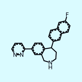 Fc1ccc2cc(C3CCNCc4cc(-c5cccnn5)ccc43)ccc2c1